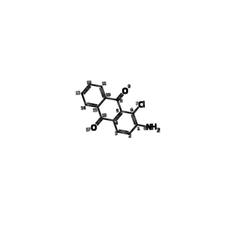 Nc1ccc2c(c1Cl)C(=O)c1ccccc1C2=O